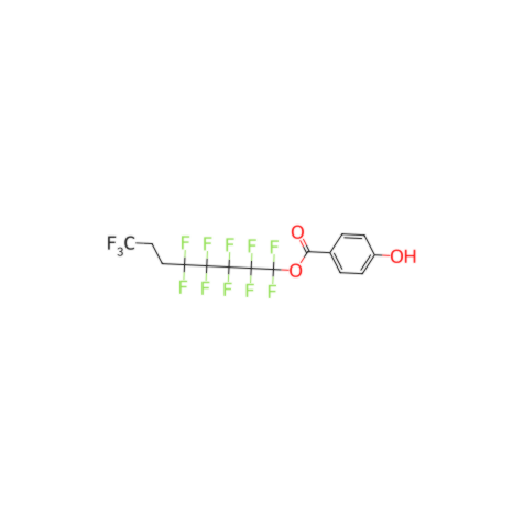 O=C(OC(F)(F)C(F)(F)C(F)(F)C(F)(F)C(F)(F)CCC(F)(F)F)c1ccc(O)cc1